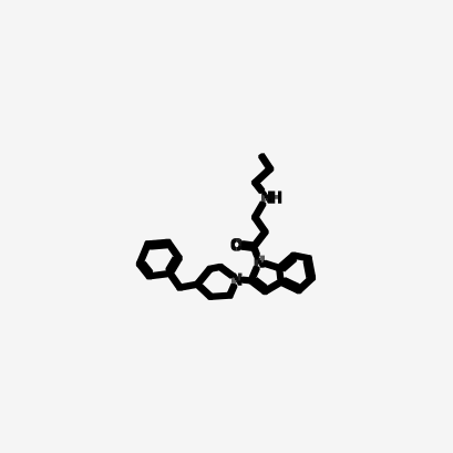 CCCNCCC(=O)n1c(N2CCC(Cc3ccccc3)CC2)cc2ccccc21